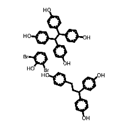 Oc1c(Br)cccc1Br.Oc1ccc(C(c2ccc(O)cc2)C(c2ccc(O)cc2)c2ccc(O)cc2)cc1.Oc1ccc(CCC(c2ccc(O)cc2)c2ccc(O)cc2)cc1